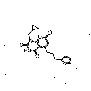 O=c1cc(CCCc2cccs2)c2c(=O)[nH]c(=O)n(CC3CC3)c2o1